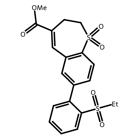 CCS(=O)(=O)c1ccccc1-c1ccc2c(c1)C=C(C(=O)OC)CCS2(=O)=O